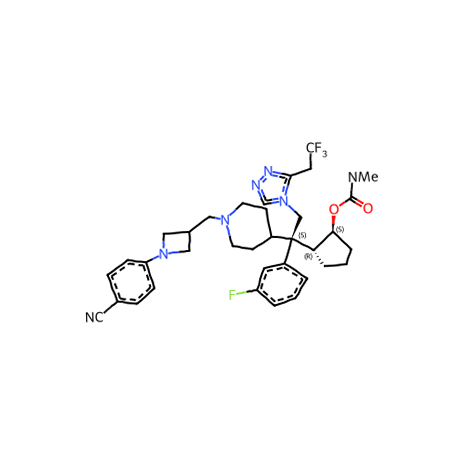 CNC(=O)O[C@H]1CCC[C@@H]1[C@](Cn1cnnc1CC(F)(F)F)(c1cccc(F)c1)C1CCN(CC2CN(c3ccc(C#N)cc3)C2)CC1